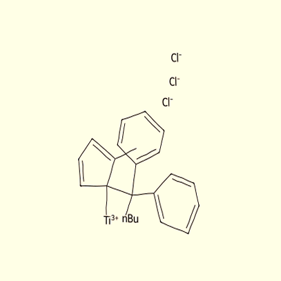 CCCCC(c1ccccc1)(c1ccccc1)[C]1([Ti+3])C=CC=C1C.[Cl-].[Cl-].[Cl-]